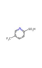 O=S(=O)(O)c1ccc(C(F)(F)F)cn1